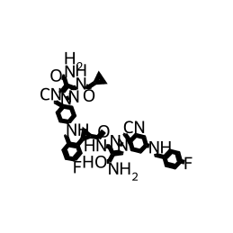 N#CCC1(n2cc(C(N)=O)c(NC(=O)C3CC3)n2)CCC(NCc2ccc(F)cc2C2CC2C(=O)Nc2nn(C3(CC#N)CCC(NCc4ccc(F)cc4)CC3)cc2C(N)O)CC1